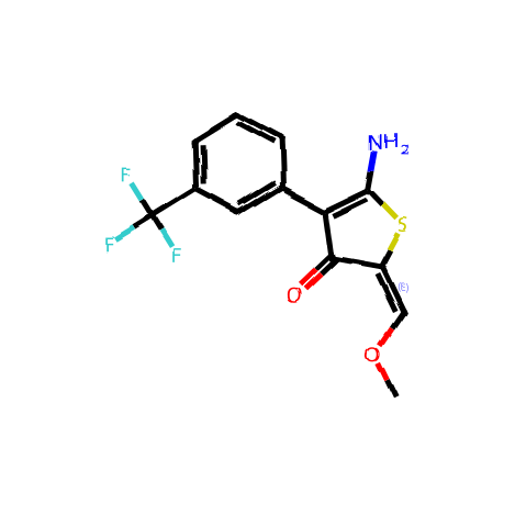 CO/C=C1/SC(N)=C(c2cccc(C(F)(F)F)c2)C1=O